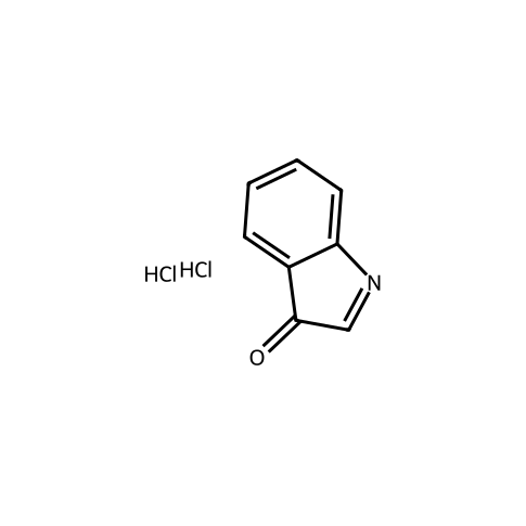 Cl.Cl.O=C1C=Nc2ccccc21